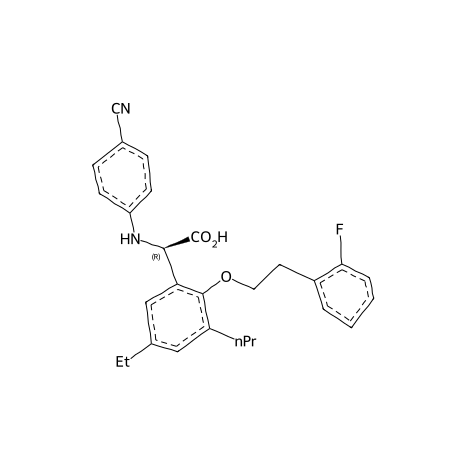 CCCc1cc(CC)cc([C@@H](Nc2ccc(C#N)cc2)C(=O)O)c1OCCc1ccccc1F